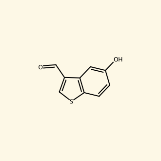 O=Cc1csc2ccc(O)cc12